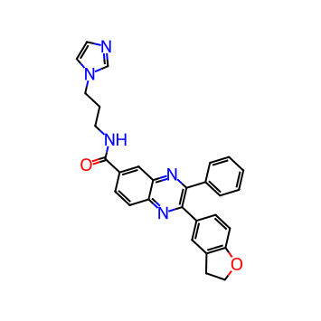 O=C(NCCCn1ccnc1)c1ccc2nc(-c3ccc4c(c3)CCO4)c(-c3ccccc3)nc2c1